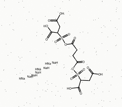 O=C(O)CC(C(=O)O)S(=O)(=O)OC(=O)CCC(=O)OS(=O)(=O)C(CC(=O)O)C(=O)O.[NaH].[NaH].[NaH].[NaH].[NaH].[NaH].[NaH].[NaH]